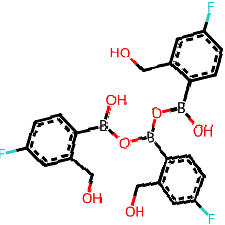 OCc1cc(F)ccc1B(O)OB(OB(O)c1ccc(F)cc1CO)c1ccc(F)cc1CO